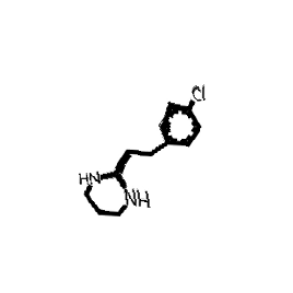 Clc1ccc(CC=C2NCCCN2)cc1